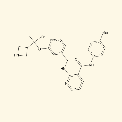 CC(C)C(I)(Oc1cc(CNc2ncccc2C(=O)Nc2ccc(C(C)(C)C)cc2)ccn1)C1CNC1